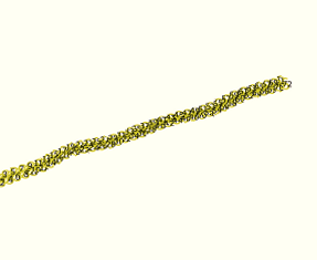 S=S=S=S=S=S=S=S=S=S=S=S=S=S=S=S=S=S=S=S=S=S=S=S=S=S=S=S=S=S=S=S=S=S=S=S=S=S=S=S=S=S=S=S=S=S=S=S=S=S=S=S=S=S=S=S=S=S=S=S=S=S=S=S=S=S=S=S=S=S=S=S=S